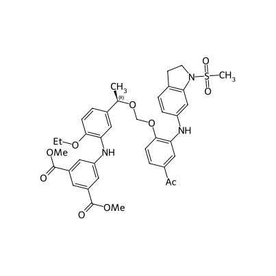 CCOc1ccc([C@@H](C)OCOc2ccc(C(C)=O)cc2Nc2ccc3c(c2)N(S(C)(=O)=O)CC3)cc1Nc1cc(C(=O)OC)cc(C(=O)OC)c1